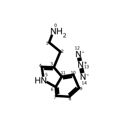 NCCc1c[nH]c2ccccc12.[N-]=[N+]=[N-]